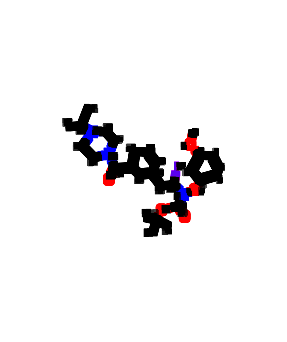 COc1cccc(ON(C(=O)OC(C)(C)C)C(I)Cc2cccc(C(=O)N3CCN(C(C)C)CC3)c2)c1